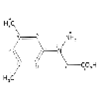 Cc1cc(C)cc(N(N)CC(=O)O)c1